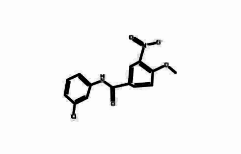 COc1ccc(C(=O)Nc2cccc(Cl)c2)cc1[N+](=O)[O-]